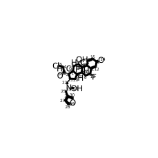 C[C@]12C[C@H](O)[C@@]3(F)[C@@H](C[C@H](F)C4=CC(=O)C=C[C@@]43C)[C@@H]1C[C@@H](CN(O)Cc1ccoc1)[C@@H]2C(=O)CCl